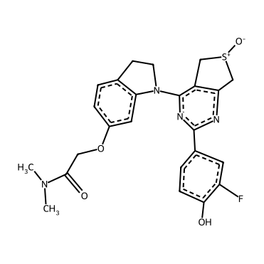 CN(C)C(=O)COc1ccc2c(c1)N(c1nc(-c3ccc(O)c(F)c3)nc3c1C[S+]([O-])C3)CC2